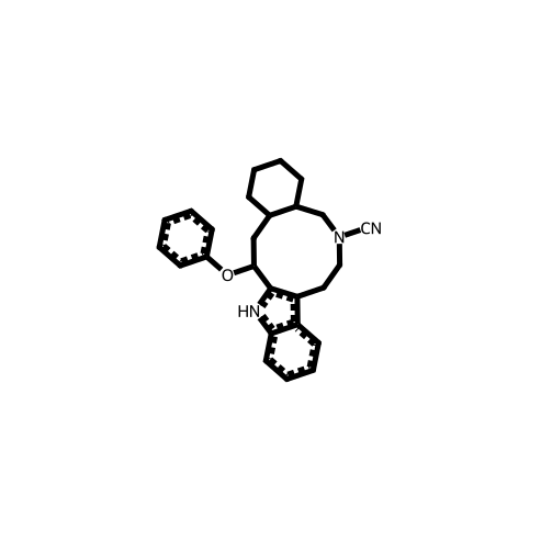 N#CN1CCc2c([nH]c3ccccc23)C(Oc2ccccc2)CC2CCCCC2C1